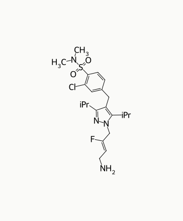 CC(C)c1nn(CC(F)=CCN)c(C(C)C)c1Cc1ccc(S(=O)(=O)N(C)C)c(Cl)c1